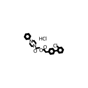 Cl.O=C(Cc1ccc(-c2ccccc2Cl)cc1)OCC(=O)N1CCN(c2ccccc2)CC1